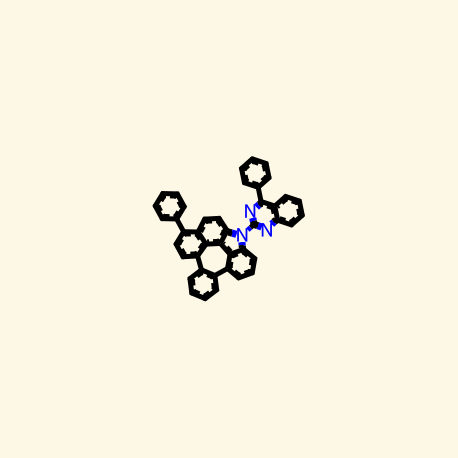 c1ccc(-c2nc(-n3c4cccc5c4c4c6c(ccc(-c7ccccc7)c6ccc43)-c3ccccc3-5)nc3ccccc23)cc1